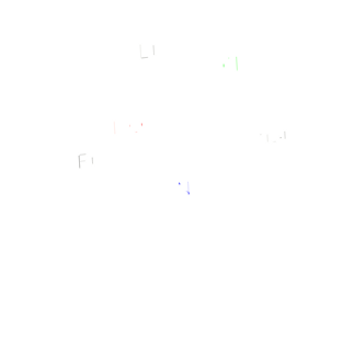 [CH2]CC1CCCN1C(CCCC)C(O)(Cl)CC